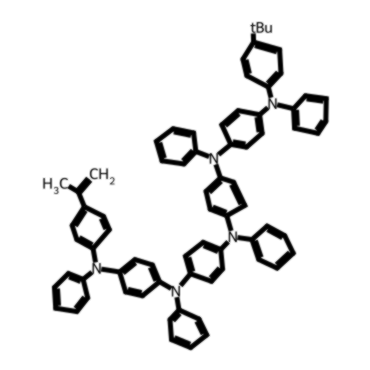 C=C(C)c1ccc(N(c2ccccc2)c2ccc(N(c3ccccc3)c3ccc(N(c4ccccc4)c4ccc(N(c5ccccc5)c5ccc(N(c6ccccc6)c6ccc(C(C)(C)C)cc6)cc5)cc4)cc3)cc2)cc1